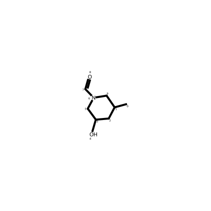 CC1CC(O)CN(C=O)C1